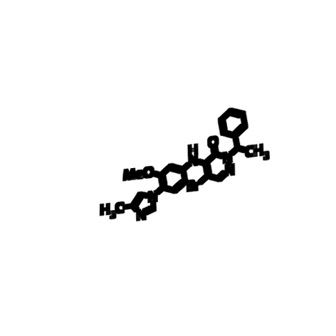 COc1cc(Nc2c(Br)cnn(C(C)c3ccccc3)c2=O)ccc1-n1cnc(C)c1